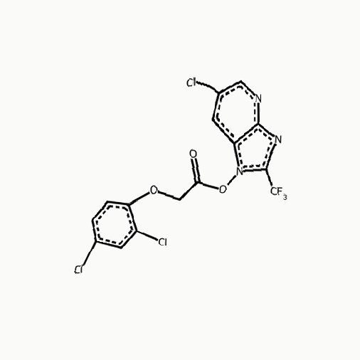 O=C(COc1ccc(Cl)cc1Cl)On1c(C(F)(F)F)nc2ncc(Cl)cc21